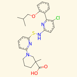 CC(C)COc1ccccc1-c1nc(NSc2cccc(N3CCCC(C)(C(=O)O)C3)n2)ccc1Cl